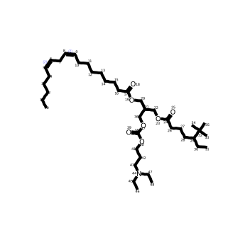 CCCCC/C=C\C/C=C\CCCCCCCC(=O)OCC(COC(=O)CCCC(CC)C(C)(C)C)COC(=O)OCCCN(CC)CC